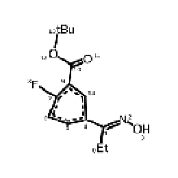 CCC(=NO)c1ccc(F)c(C(=O)OC(C)(C)C)c1